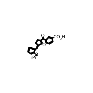 CC(C)Oc1ccccc1C=C1CCc2c1oc1ccc(C(=O)O)cc1c2=O